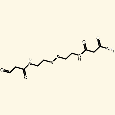 NC(=O)CC(=O)NCCSSCCNC(=O)CC=O